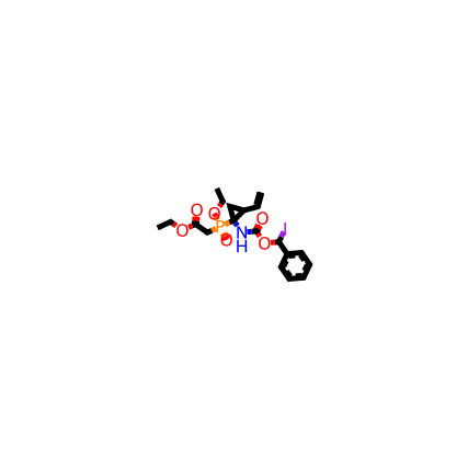 C=CC1CC1(NC(=O)OC(I)c1ccccc1)P(=O)(CC(=O)OCC)OCC